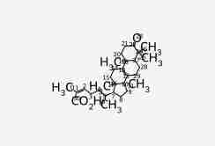 C/C(=C/CCC(C)[C@@H]1CC[C@]2(C)C3=C(CC[C@@]12C)[C@@]1(C)CCC(=O)C(C)(C)C1CC3)C(=O)O